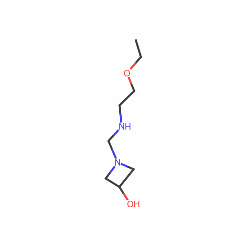 CCOCCNCN1CC(O)C1